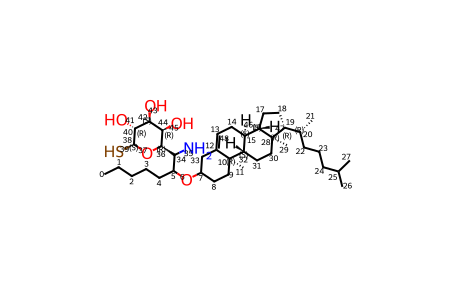 CCCCCC(OC1CC[C@@]2(C)C(=CC[C@H]3[C@@H]4CC[C@H]([C@H](C)CCCC(C)C)[C@@]4(C)CC[C@@H]32)C1)C(N)[C@H]1O[C@@H](S)[C@H](O)[C@@H](O)[C@H]1O